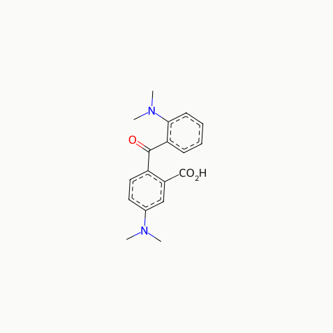 CN(C)c1ccc(C(=O)c2ccccc2N(C)C)c(C(=O)O)c1